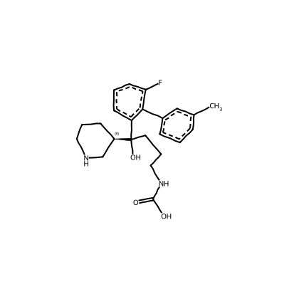 Cc1cccc(-c2c(F)cccc2C(O)(CCCNC(=O)O)[C@@H]2CCCNC2)c1